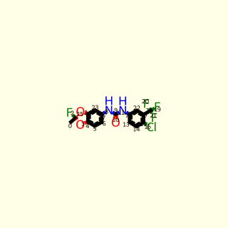 CC1(F)Oc2ccc(NC(=O)Nc3ccc(Cl)c(C(F)(F)F)c3)cc2O1